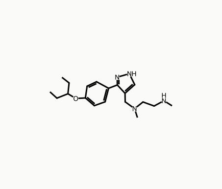 CCC(CC)Oc1ccc(-c2n[nH]cc2CN(C)CCNC)cc1